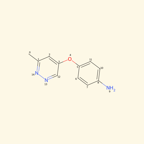 Cc1cc(Oc2ccc(N)cc2)cnn1